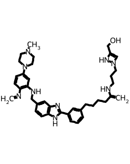 C=Nc1ccc(N2CCN(C)CC2)cc1NCc1ccc2[nH]c(-c3cccc(CCCCC(=C)NCCCn4cc(CO)[nH]4)c3)nc2c1